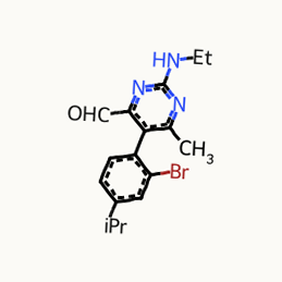 CCNc1nc(C)c(-c2ccc(C(C)C)cc2Br)c(C=O)n1